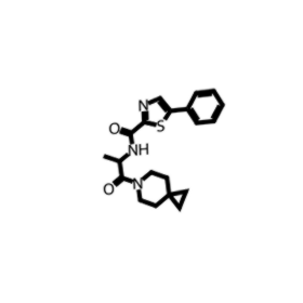 CC(NC(=O)c1ncc(-c2ccccc2)s1)C(=O)N1CCC2(CC1)CC2